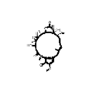 COc1cc2cc(c1Cl)N(C)C(=O)CC(O)[C@]1(C)O[C@H]1[C@H](C)C1C[C@@](O)(NC(=O)O1)[C@H](OC)/C=C/C=C(\C)C2